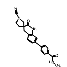 CNC(=O)c1ccc(-c2ccc3c(c2)NC(=O)C2(CCN(C#N)C2)C3)cn1